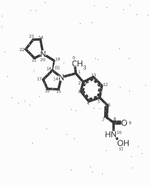 CC(c1ccc(C=CC(=O)NO)cc1)N1CCC[C@H]1CN1CCCC1